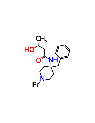 CC(O)CC(=O)NC1(Cc2ccccc2)CCN(C(C)C)CC1